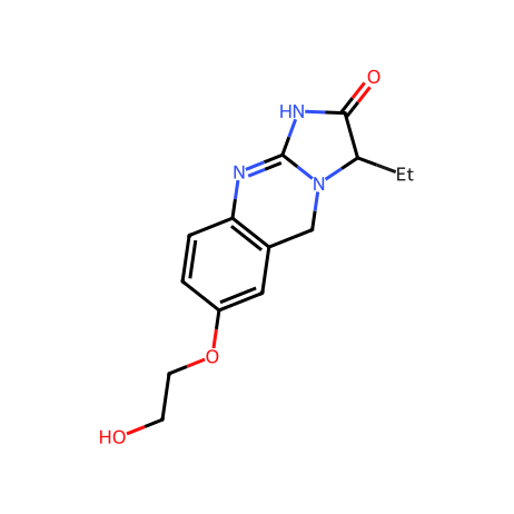 CCC1C(=O)NC2=Nc3ccc(OCCO)cc3CN21